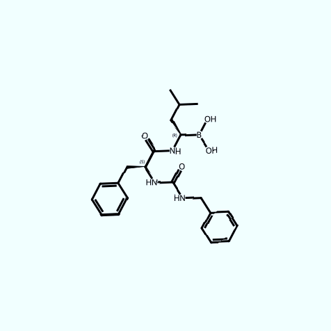 CC(C)C[C@H](NC(=O)[C@H](Cc1ccccc1)NC(=O)NCc1ccccc1)B(O)O